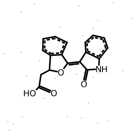 O=C(O)CC1O/C(=C2\C(=O)Nc3ccccc32)c2ccccc21